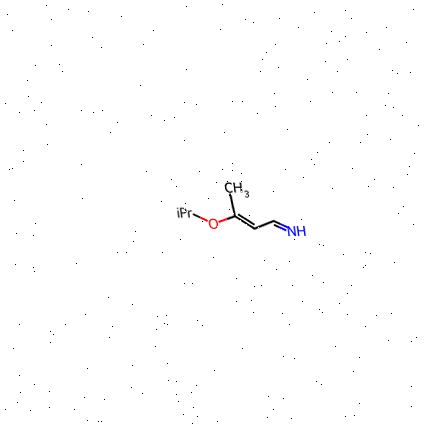 C/C(=C\C=N)OC(C)C